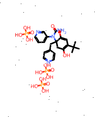 COC1=CC(C(C)(C)C)=C(O)CC1(Cc1ccncc1)N(C(N)=O)c1cccnc1.O=P(O)(O)O.O=P(O)(O)O.O=P(O)(O)O